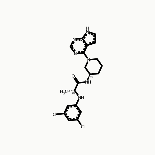 C[C@@H](Nc1cc(Cl)cc(Cl)c1)C(=O)N[C@@H]1CCCN(c2ncnc3[nH]ccc23)C1